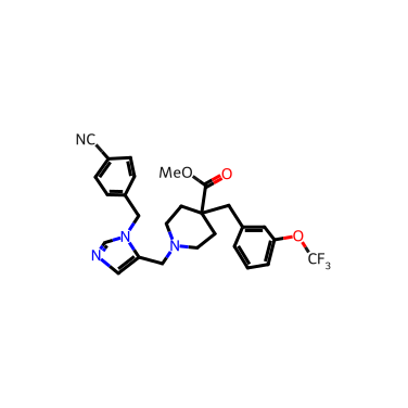 COC(=O)C1(Cc2cccc(OC(F)(F)F)c2)CCN(Cc2cncn2Cc2ccc(C#N)cc2)CC1